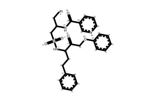 CC(C)CC(CS(=O)(=O)NC(CCc1ccccc1)C(=O)COc1ccccc1)NC(=O)c1cccnc1